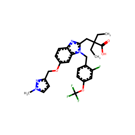 CCC(CC)(Cc1nc2ccc(OCc3ccn(C)n3)cc2n1Cc1ccc(OC(F)(F)F)cc1F)C(=O)O